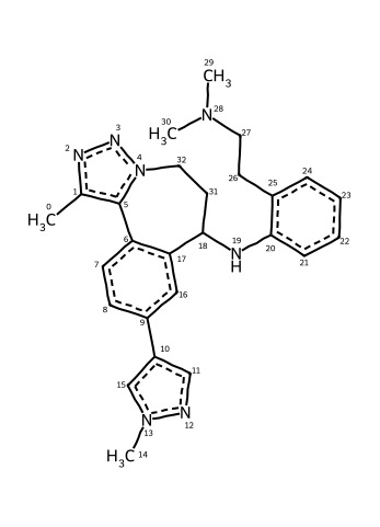 Cc1nnn2c1-c1ccc(-c3cnn(C)c3)cc1C(Nc1ccccc1CCN(C)C)CC2